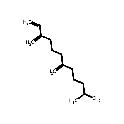 C=CC(=C)CCCC(=C)CCCC(C)C